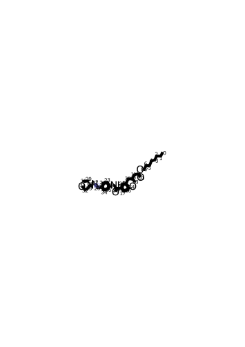 CCCCCCCCOC(=O)CC1COc2ccc(C(=O)Nc3ccc(/C=N/N4CCOCC4)cc3)cc2C1